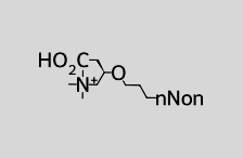 CCCCCCCCCCCCO[C@H](CC(=O)O)C[N+](C)(C)C